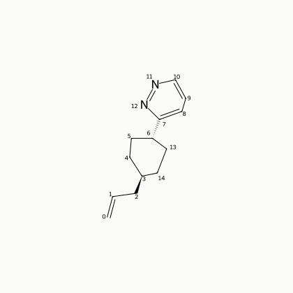 C=CC[C@H]1CC[C@H](c2cccnn2)CC1